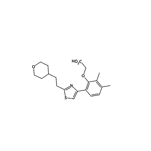 Cc1ccc(-c2csc(CCC3CCOCC3)n2)c(OCC(=O)O)c1C